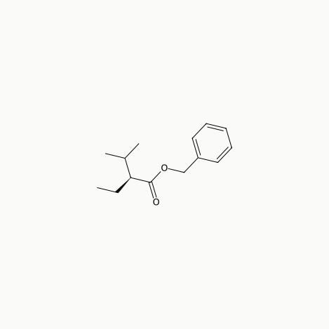 CC[C@H](C(=O)OCc1ccccc1)C(C)C